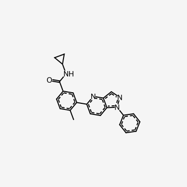 Cc1ccc(C(=O)NC2CC2)cc1-c1ccc2c(cnn2-c2ccccc2)n1